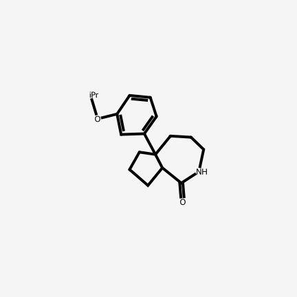 CC(C)Oc1cccc(C23CCCNC(=O)C2CCC3)c1